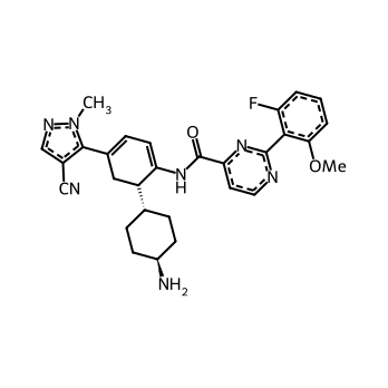 COc1cccc(F)c1-c1nccc(C(=O)NC2=CC=C(c3c(C#N)cnn3C)CC2[C@H]2CC[C@H](N)CC2)n1